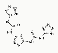 O=C(Nc1nnn[nH]1)Nc1nnc(NC(=O)Nc2nnn[nH]2)s1